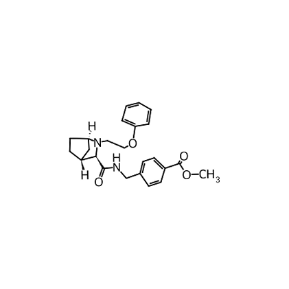 COC(=O)c1ccc(CNC(=O)[C@H]2[C@@H]3CC[C@H](C3)N2CCOc2ccccc2)cc1